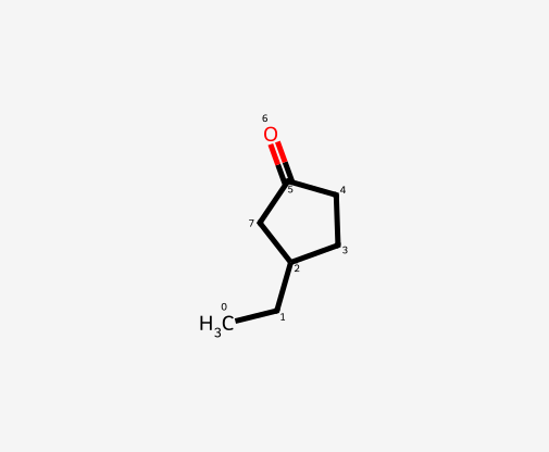 CC[C]1CCC(=O)C1